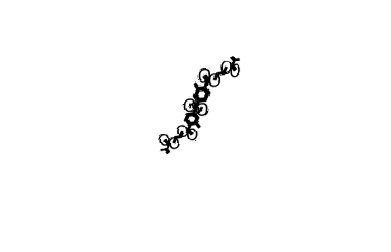 C=C(C)C(=O)OCCOC(=O)c1ccc(S(=O)(=O)c2ccc(C(=O)OCCOC(=O)C(=C)C)c(C)c2)cc1C